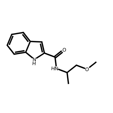 COCC(C)NC(=O)c1cc2ccccc2[nH]1